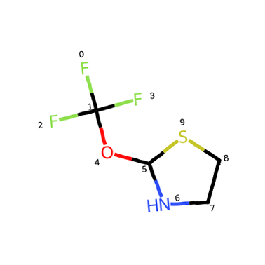 FC(F)(F)OC1NC[CH]S1